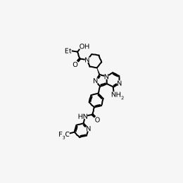 CCC(O)C(=O)N1CCC[C@@H](c2nc(-c3ccc(C(=O)Nc4cc(C(F)(F)F)ccn4)cc3)c3c(N)nccn23)C1